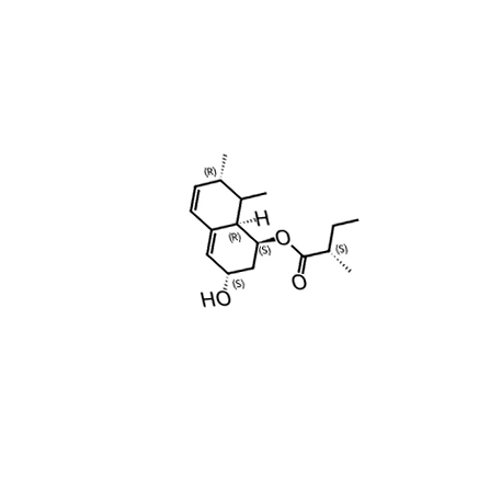 CC[C@H](C)C(=O)O[C@H]1C[C@H](O)C=C2C=C[C@H](C)C(C)[C@H]21